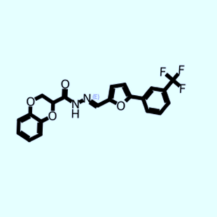 O=C(N/N=C/c1ccc(-c2cccc(C(F)(F)F)c2)o1)C1COc2ccccc2O1